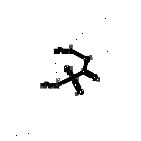 CCCCCOC(=O)S(=O)(=O)CCCCC